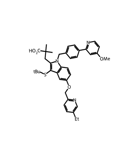 CCc1ccc(COc2ccc3c(c2)c(SC(C)(C)C)c(CC(C)(C)C(=O)O)n3Cc2ccc(-c3cc(OC)ccn3)cc2)nc1